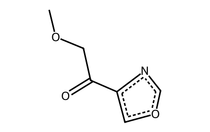 COCC(=O)c1cocn1